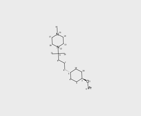 CC(C)O[C@H]1CC[C@H](CCCC(C)(C)N2CCN(C)CC2)CC1